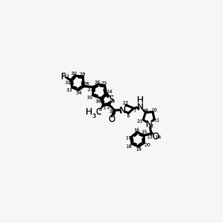 Cc1c(C(=O)N2CC(NC3CCN(C(=O)c4ccccc4)C3)C2)sc2ccc(-c3ccc(F)cc3)cc12